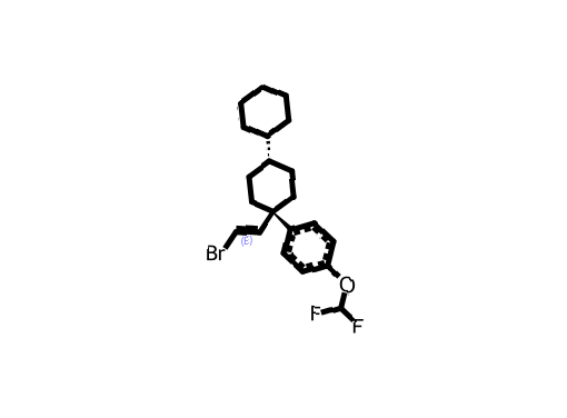 FC(F)Oc1ccc([C@]2(/C=C/Br)CC[C@@H](C3CCCCC3)CC2)cc1